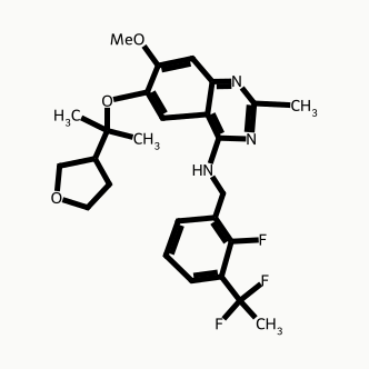 COc1cc2nc(C)nc(NCc3cccc(C(C)(F)F)c3F)c2cc1OC(C)(C)C1CCOC1